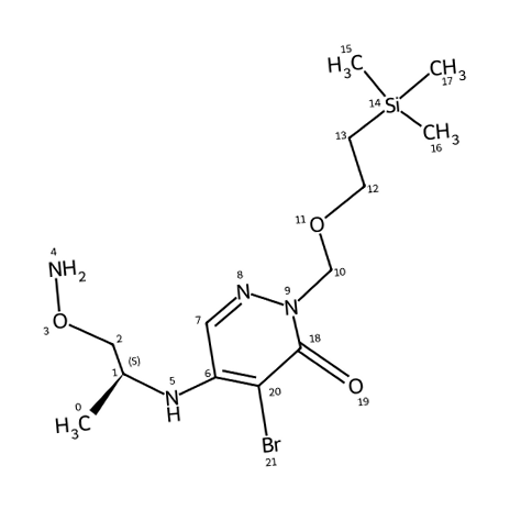 C[C@@H](CON)Nc1cnn(COCC[Si](C)(C)C)c(=O)c1Br